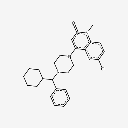 Cn1c(=O)cc(N2CCN(C(c3ccccc3)C3CCCCC3)CC2)c2nc(Cl)ccc21